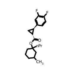 CCCC1(OC(=O)[C@@H]2C[C@H]2c2ccc(F)c(F)c2)CCCC(C)C1